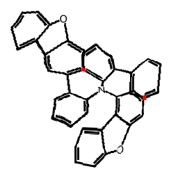 c1ccc(-c2ccccc2N(c2ccccc2-c2ccc3oc4ccccc4c3c2)c2cccc3oc4ccccc4c23)cc1